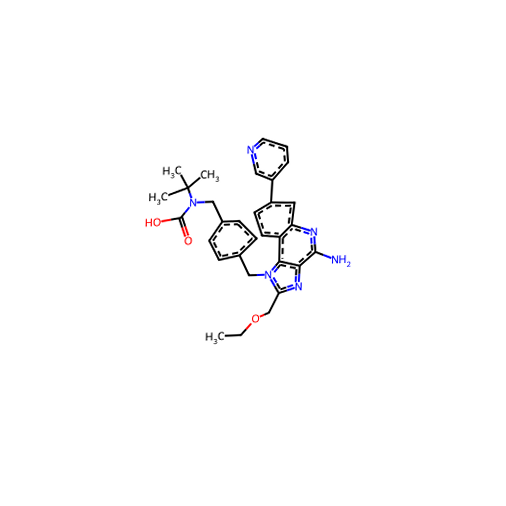 CCOCc1nc2c(N)nc3cc(-c4cccnc4)ccc3c2n1Cc1ccc(CN(C(=O)O)C(C)(C)C)cc1